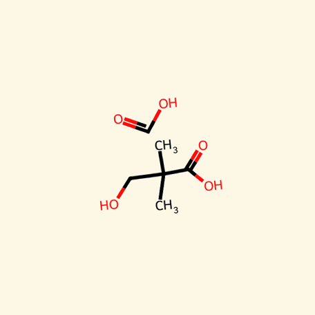 CC(C)(CO)C(=O)O.O=CO